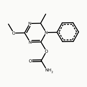 COC1=NC(C)N(c2ccccc2)C(OC(N)=O)=N1